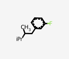 CC(C)C(C)Cc1cccc(F)c1